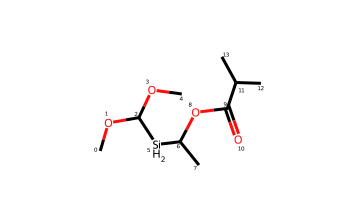 COC(OC)[SiH2]C(C)OC(=O)C(C)C